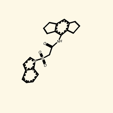 O=C(CS(=O)(=O)n1ccc2ccccc21)Nc1c2c(cc3c1CCC3)CCC2